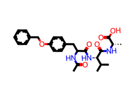 CC(=O)NC(Cc1ccc(OCc2ccccc2)cc1)C(=O)N[C@H](C(=O)N[C@@H](C)C(=O)O)C(C)C